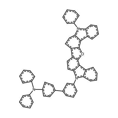 c1ccc(N(c2ccccc2)c2ccc(-c3cccc(-n4c5ccccc5c5c6oc7c(ccc8c7c7ccccc7n8-c7ccccc7)c6ccc54)c3)cc2)cc1